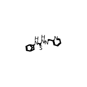 S=C(NN=Cc1ccccn1)NC1CC2C=CC1C2